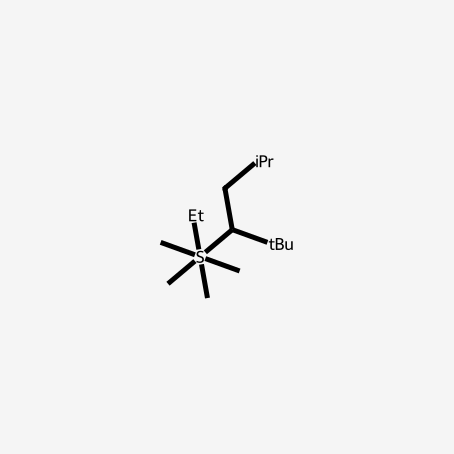 CCS(C)(C)(C)(C)C(CC(C)C)C(C)(C)C